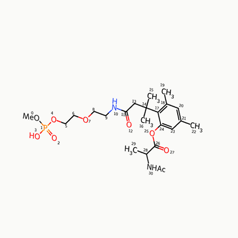 COP(=O)(O)OCCOCCNC(=O)CC(C)(C)c1c(C)cc(C)cc1OC(=O)C(C)NC(C)=O